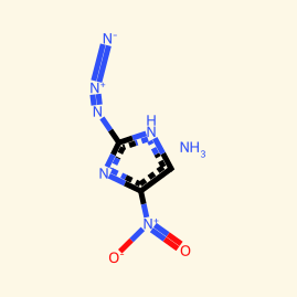 N.[N-]=[N+]=Nc1nc([N+](=O)[O-])c[nH]1